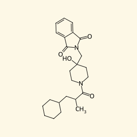 CC(CC1CCCCC1)C(=O)N1CCC(O)(CN2C(=O)c3ccccc3C2=O)CC1